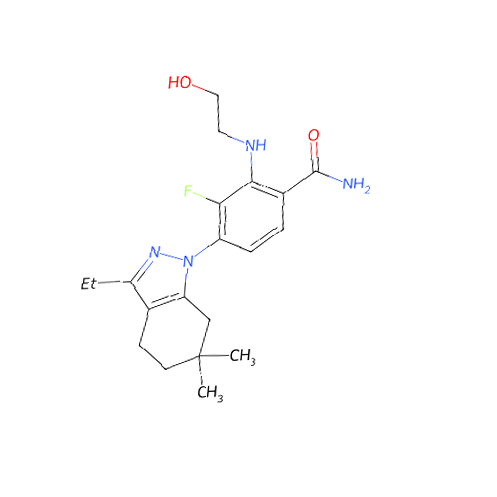 CCc1nn(-c2ccc(C(N)=O)c(NCCO)c2F)c2c1CCC(C)(C)C2